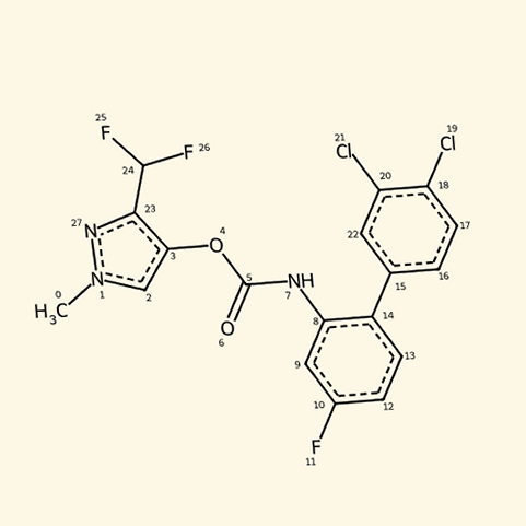 Cn1cc(OC(=O)Nc2cc(F)ccc2-c2ccc(Cl)c(Cl)c2)c(C(F)F)n1